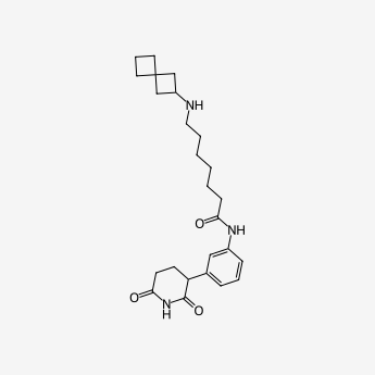 O=C1CCC(c2cccc(NC(=O)CCCCCCNC3CC4(CCC4)C3)c2)C(=O)N1